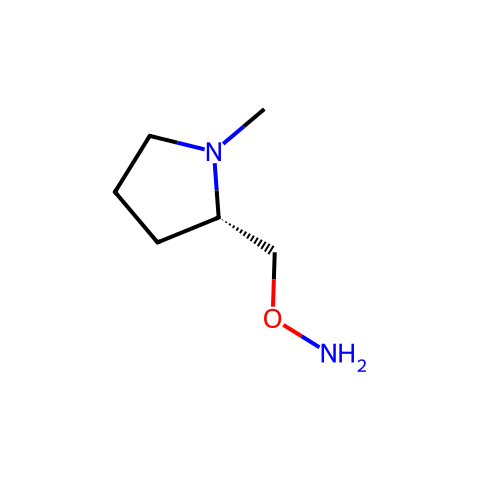 CN1CCC[C@H]1CON